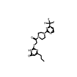 CCCc1cc(=O)[nH]c(SCC(=O)N2CCN(c3nccc(C(F)(F)F)n3)CC2)n1